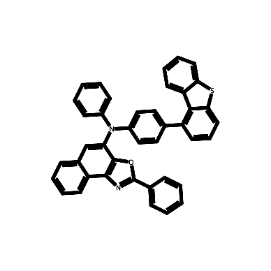 c1ccc(-c2nc3c(o2)c(N(c2ccccc2)c2ccc(-c4cccc5sc6ccccc6c45)cc2)cc2ccccc23)cc1